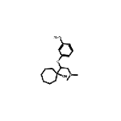 COc1cccc(OC(CN(C)C)C2(O)CCCCCC2)c1